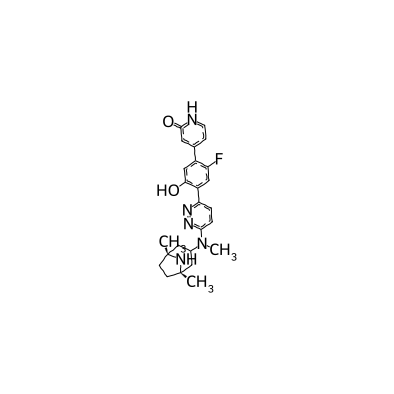 CN(c1ccc(-c2cc(F)c(-c3cc[nH]c(=O)c3)cc2O)nn1)C1C[C@]2(C)CC[C@](C)(C1)N2